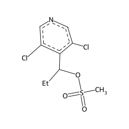 CCC(OS(C)(=O)=O)c1c(Cl)cncc1Cl